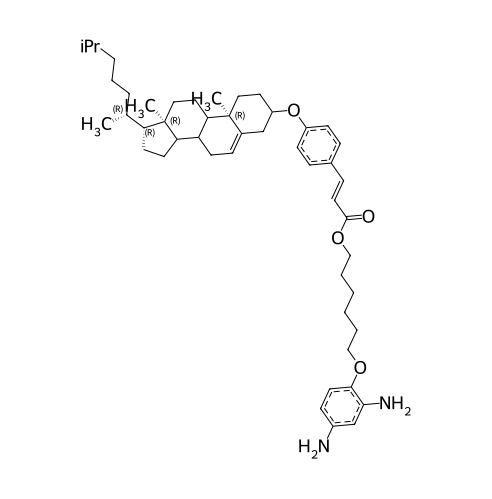 CC(C)CCC[C@@H](C)[C@H]1CCC2C3CC=C4CC(Oc5ccc(C=CC(=O)OCCCCCCOc6ccc(N)cc6N)cc5)CC[C@]4(C)C3CC[C@@]21C